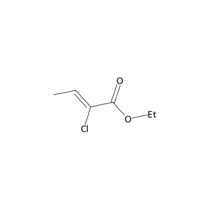 CC=C(Cl)C(=O)OCC